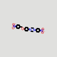 O=[N+]([O-])c1ccc(COc2ccc(N3CCN(c4ccc([N+](=O)[O-])cc4)CC3)cc2)cc1